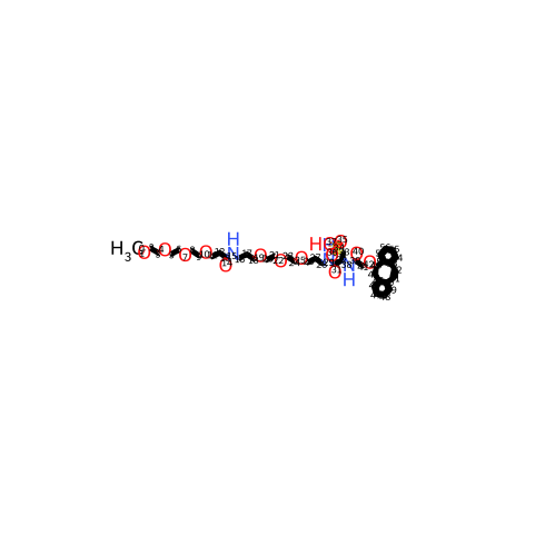 COCCOCCOCCOCCC(=O)NCCCOCCOCCOCCCNC(=O)C(CS(=O)(=O)O)NC(=O)COC1Cc2ccccc2C#Cc2ccccc21